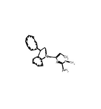 C=N/C(N)=N\C(=C/C)N1CC(c2ccccc2)c2ccccc21